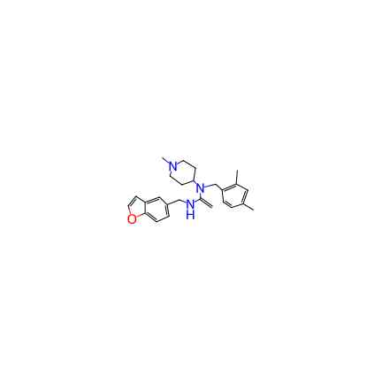 C=C(NCc1ccc2occc2c1)N(Cc1ccc(C)cc1C)C1CCN(C)CC1